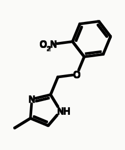 Cc1c[nH]c(COc2ccccc2[N+](=O)[O-])n1